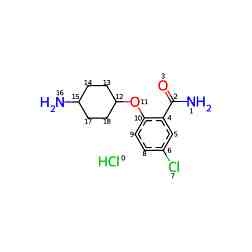 Cl.NC(=O)c1cc(Cl)ccc1OC1CCC(N)CC1